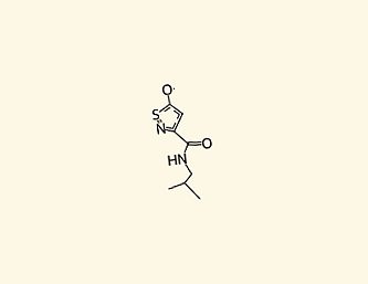 CC(C)CNC(=O)c1cc([O])sn1